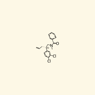 C=CC[C@H](CN(C)C(=O)c1ccccc1)c1ccc(Cl)c(Cl)c1